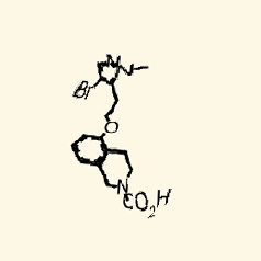 Cn1ncc(Br)c1CCOc1cccc2c1CCN(C(=O)O)C2